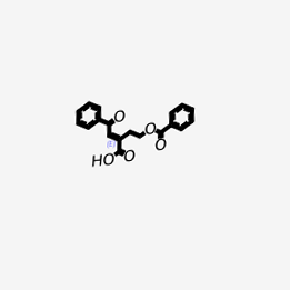 O=C(O)/C(=C/C(=O)c1ccccc1)CCOC(=O)c1ccccc1